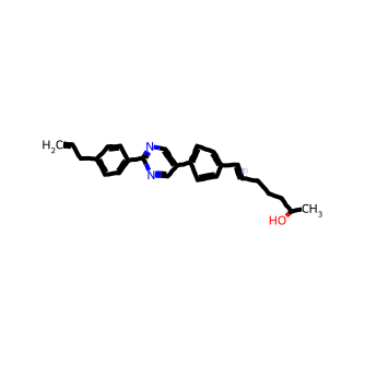 C=CCc1ccc(-c2ncc(-c3ccc(/C=C/CCCC(C)O)cc3)cn2)cc1